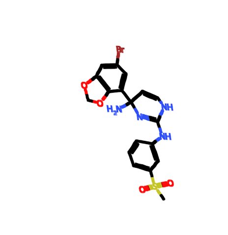 CS(=O)(=O)c1cccc(NC2=NC(N)(c3cc(Br)cc4c3OCO4)C=CN2)c1